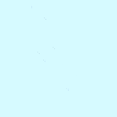 O=C(CSc1nnc(-c2cnc(F)cc2F)[nH]1)Nc1ccccc1